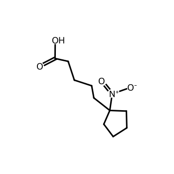 O=C(O)CCCCC1([N+](=O)[O-])CCCC1